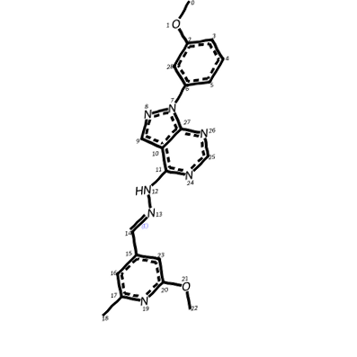 COc1cccc(-n2ncc3c(N/N=C/c4cc(C)nc(OC)c4)ncnc32)c1